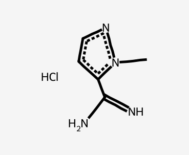 Cl.Cn1nccc1C(=N)N